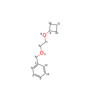 c1ccc(COCCOC2CCC2)cc1